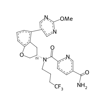 COc1ncc(-c2cccc3c2C[C@H](N(CCCC(F)(F)F)C(=O)c2ccc(C(N)=O)cn2)CO3)cn1